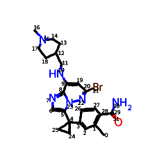 Cc1cc(C2(c3cnc4c(NCC5CCN(C)CC5)cc(Br)nn34)CC2)ccc1C(N)=O